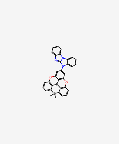 C[Si]1(C)c2cccc3c2B2c4c(cc(-n5c6ccccc6n6c7ccccc7nc56)cc4Oc4cccc1c42)O3